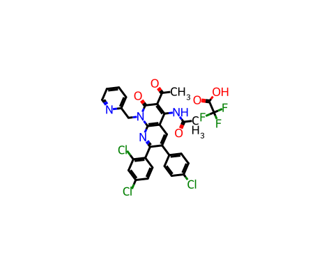 CC(=O)Nc1c(C(C)=O)c(=O)n(Cc2ccccn2)c2nc(-c3ccc(Cl)cc3Cl)c(-c3ccc(Cl)cc3)cc12.O=C(O)C(F)(F)F